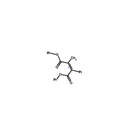 C/C(C(=O)OC(C)C)=C(/C(=O)OC(C)C)C(C)C